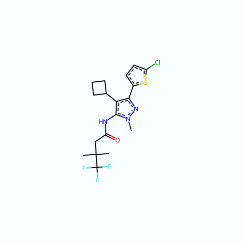 Cn1nc(-c2ccc(Cl)s2)c(C2CCC2)c1NC(=O)CC(C)(C)C(F)(F)F